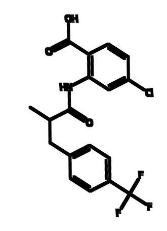 CC(Cc1ccc(C(F)(F)F)cc1)C(=O)Nc1cc(Cl)ccc1C(=O)O